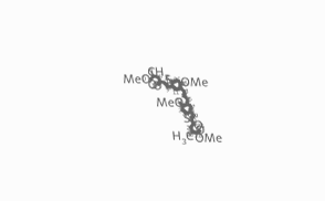 COC(=O)[C@@H](C)CC(=O)c1cc2cc(CCCc3cc4cc(C(=O)C[C@H](C)C(=O)OC)sc4cc3OC)c(OC)cc2s1